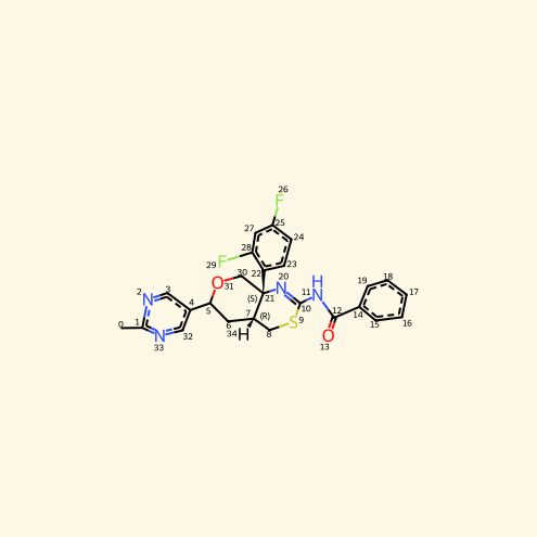 Cc1ncc(C2C[C@H]3CSC(NC(=O)c4ccccc4)=N[C@@]3(c3ccc(F)cc3F)CO2)cn1